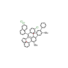 CC(C)(C)c1cc2c(cc1-c1ccccc1)Cc1c-2cc(C(C)(C)C)c(-c2ccccc2)[c]1/[Zr+2]([C]1=CC=CC1)=[C](\c1ccc(Cl)cc1)c1cccc2ccccc12.[Cl-].[Cl-]